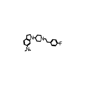 CN(C)c1ccc2c(c1)N(C1CCN(CCc3ccc(F)cc3)CC1)CC2